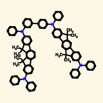 CC1(C)c2cc(N(c3ccccc3)c3ccccc3)ccc2-c2cc3c(cc21)-c1ccc(N(c2ccccc2)c2ccc(-c4cccc(N(c5ccccc5)c5ccc6c(c5)C(C)(C)c5c-6ccc6c5C(C)(C)c5cc(N(c7ccccc7)c7ccccc7)ccc5-6)c4)cc2)cc1C3(C)C